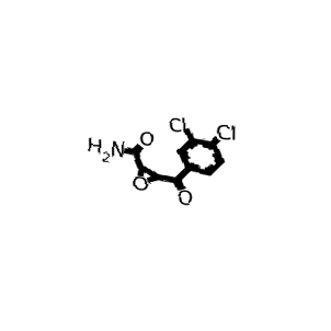 NC(=O)C1OC1C(=O)c1ccc(Cl)c(Cl)c1